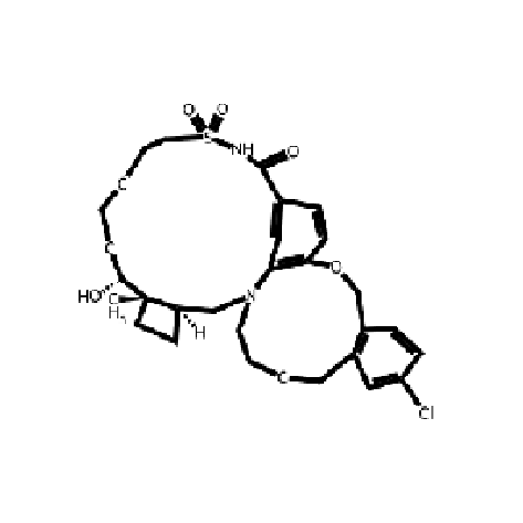 C[C@]12CC[C@@H]1CN1CCCCc3cc(Cl)ccc3COc3ccc(cc31)C(=O)NS(=O)(=O)CCCCC[C@H]2O